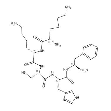 NCCCC[C@H](NC(=O)[C@@H](N)CCCCN)C(=O)N[C@@H](CS)C(=O)N[C@@H](Cc1c[nH]cn1)C(=O)N[C@@H](Cc1ccccc1)C(=O)O